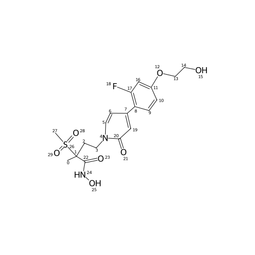 CC(CCn1ccc(-c2ccc(OCCO)cc2F)cc1=O)(C(=O)NO)S(C)(=O)=O